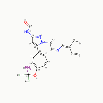 C=C/C(=C\N=C/C(C)n1nc(NC=O)cc1C1=CC=CC(OC(F)(F)P)=CC1)CC